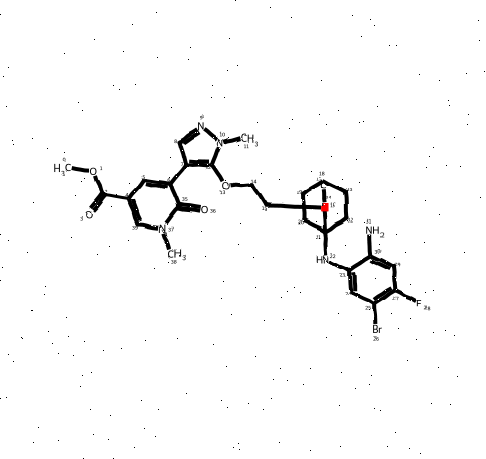 COC(=O)c1cc(-c2cnn(C)c2OCCN2CC3CCC(Nc4cc(Br)c(F)cc4N)(CC3)C2)c(=O)n(C)c1